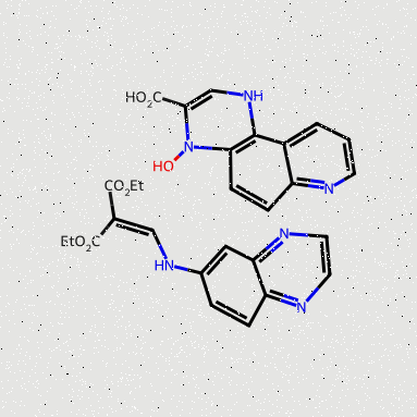 CCOC(=O)C(=CNc1ccc2nccnc2c1)C(=O)OCC.O=C(O)C1=CNc2c(ccc3ncccc23)N1O